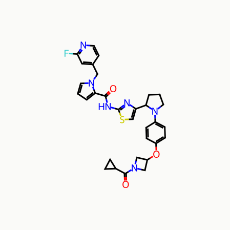 O=C(Nc1nc(C2CCCN2c2ccc(OC3CN(C(=O)C4CC4)C3)cc2)cs1)c1cccn1Cc1ccnc(F)c1